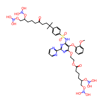 COc1ccccc1Oc1c(NS(=O)(=O)c2ccc(C(C)(C)CCC(=O)CCCC(CON(O)O)ON(O)O)cc2)nc(-c2ncccn2)nc1OCCOC(=O)CCCC(CON(O)O)ON(O)O